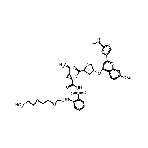 C=C[C@@H]1C[C@]1(NC(=O)[C@@H]1C[C@@H](Oc2cc(-c3csc(NC(C)C)n3)nc3cc(OC)ccc23)CN1)C(=O)NS(=O)(=O)c1ccccc1NCCOCCOCCC(=O)O